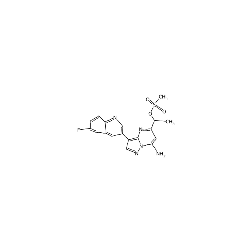 CC(OS(C)(=O)=O)c1cc(N)n2ncc(-c3cnc4ccc(F)cc4c3)c2n1